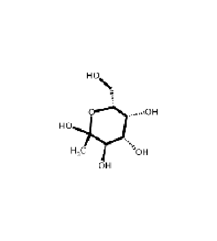 CC1(O)O[C@H](CO)[C@H](O)[C@H](O)[C@H]1O